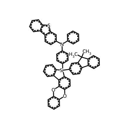 CC1(C)c2ccccc2-c2ccc([Si]3(c4ccc(N(c5ccccc5)c5ccc6c(c5)sc5ccccc56)cc4)c4ccccc4-c4c3ccc3c4Oc4ccccc4O3)cc21